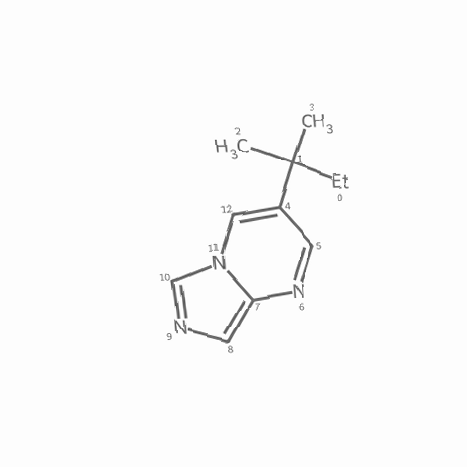 CCC(C)(C)c1cnc2cncn2c1